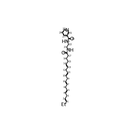 CCC=CCC=CCC=CCC=CCC=CCCCC(=O)NCCNC(=O)c1cccnc1